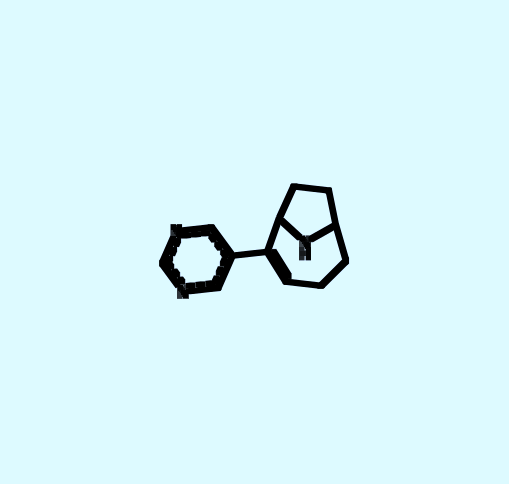 C1=C(c2cncnc2)C2CCC(CC1)N2